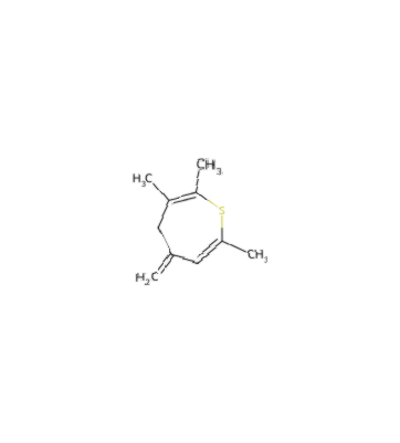 C=C1C=C(C)SC(C)=C(C)C1